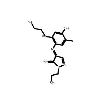 Cc1cc(N=C2C=NN(CCO)C2=N)c(NCCO)cc1O